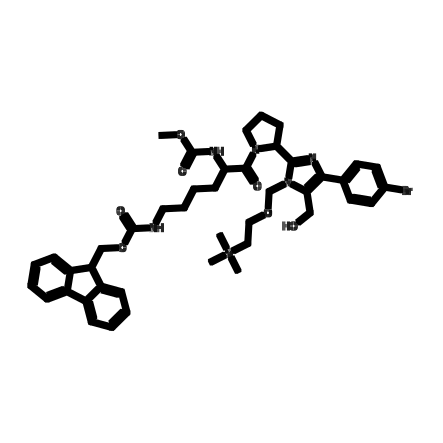 COC(=O)NC(CCCCNC(=O)OCC1c2ccccc2-c2ccccc21)C(=O)N1CCCC1c1nc(-c2ccc(Br)cc2)c(CO)n1COCC[Si](C)(C)C